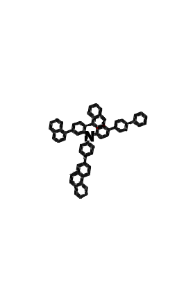 c1ccc(-c2ccc(-c3ccc(N(c4ccc(-c5ccc6c(ccc7ccccc76)c5)cc4)c4cc(-c5cccc6ccccc56)ccc4-c4cccc5ccccc45)cc3)cc2)cc1